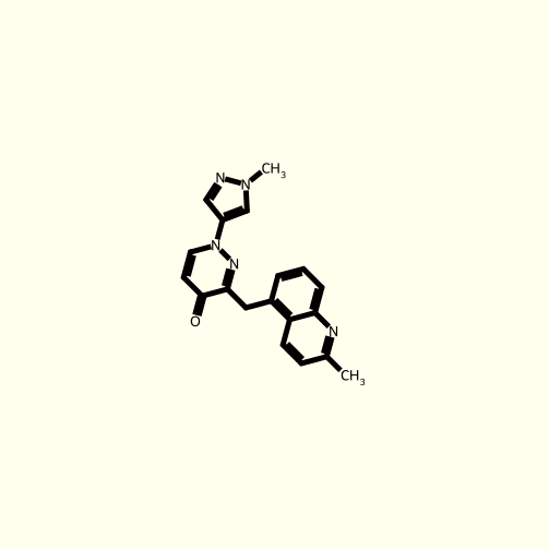 Cc1ccc2c(Cc3nn(-c4cnn(C)c4)ccc3=O)cccc2n1